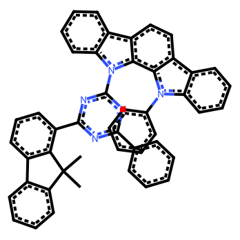 CC1(C)c2ccccc2-c2cccc(-c3nc(-c4ccccc4)nc(-n4c5ccccc5c5ccc6c7ccccc7n(-c7ccccc7)c6c54)n3)c21